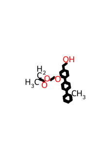 C=C(C)C(=O)OCCOc1cc(CCO)ccc1-c1ccc(-c2ccccc2C)cc1